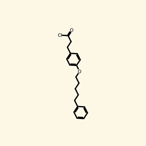 O=C(Cl)CCc1ccc(OCCCCCc2ccccc2)cc1